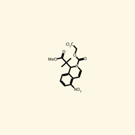 COC(=O)C(C)(C)C1c2cccc([N+](=O)[O-])c2C=CN1C(=O)OCC(Cl)(Cl)Cl